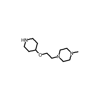 CN1CCN(CCOC2CCNCC2)CC1